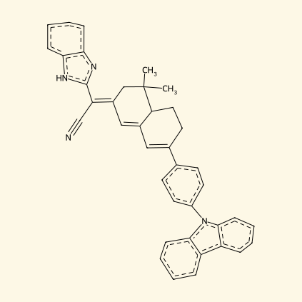 CC1(C)C/C(=C(/C#N)c2nc3ccccc3[nH]2)C=C2C=C(c3ccc(-n4c5ccccc5c5ccccc54)cc3)CCC21